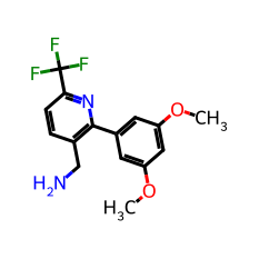 COc1cc(OC)cc(-c2nc(C(F)(F)F)ccc2CN)c1